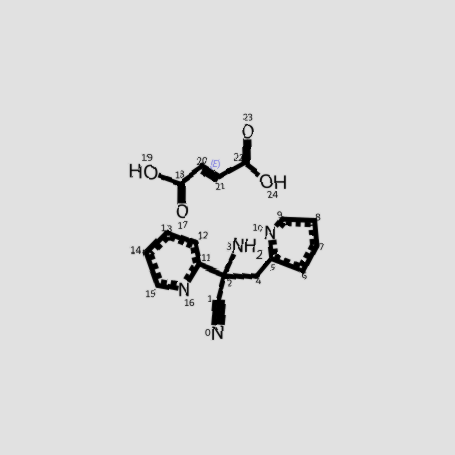 N#CC(N)(Cc1ccccn1)c1ccccn1.O=C(O)/C=C/C(=O)O